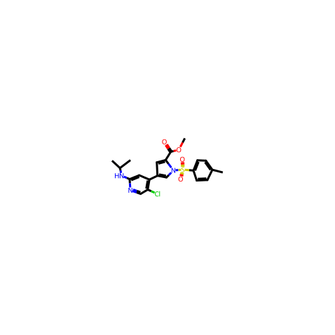 COC(=O)c1cc(-c2cc(NC(C)C)ncc2Cl)cn1S(=O)(=O)c1ccc(C)cc1